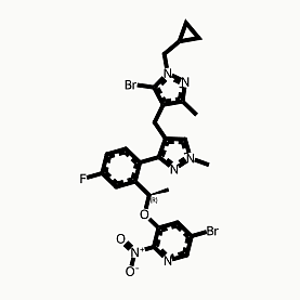 Cc1nn(CC2CC2)c(Br)c1Cc1cn(C)nc1-c1ccc(F)cc1[C@@H](C)Oc1cc(Br)cnc1[N+](=O)[O-]